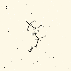 C=CC[C@@H](C)N[S@@+]([O-])C(C)(C)C